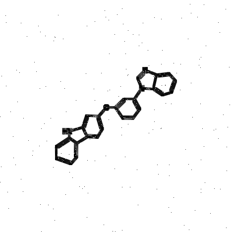 c1cc(Oc2ccc3c(c2)[nH]c2ccccc23)cc(-n2cnc3ccccc32)c1